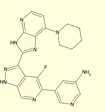 Nc1cncc(-c2ncc3[nH]nc(-c4nc5c(N6CCCCC6)ccnc5[nH]4)c3c2F)c1